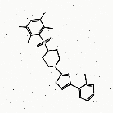 Cc1ccccc1-c1csc(N2CCC(S(=O)(=O)c3c(C)c(C)cc(C)c3C)CC2)n1